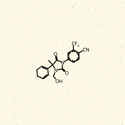 CC1(C2=CC[CH]C=C2)C(=O)N(c2ccc(C#N)c(C(F)(F)F)c2)C(=O)N1CO